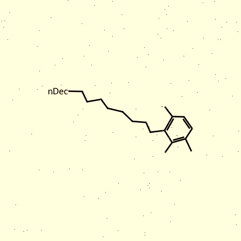 [CH2]c1ccc(C)c(C)c1CCCCCCCCCCCCCCCCCC